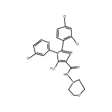 Cc1c(C(=O)NN2CCOCC2)nc(-c2ccc(Cl)cc2Cl)n1-c1cc(Cl)ccn1